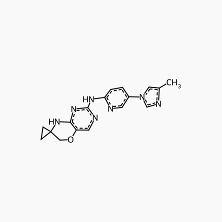 Cc1cn(-c2ccc(Nc3ncc4c(n3)NC3(CC3)CO4)nc2)cn1